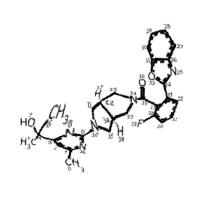 Cc1cc(C(C)(C)O)nc(N2C[C@H]3CN(C(=O)c4c(F)cccc4-c4nc5ccccc5o4)C[C@H]3C2)n1